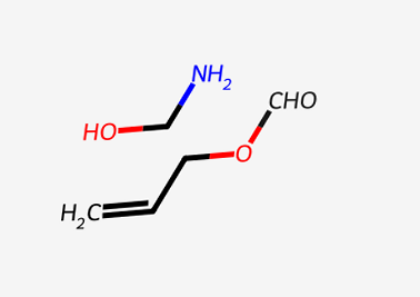 C=CCOC=O.NCO